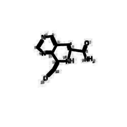 NC(=O)C1=Cc2cncnc2C(=C=O)N1